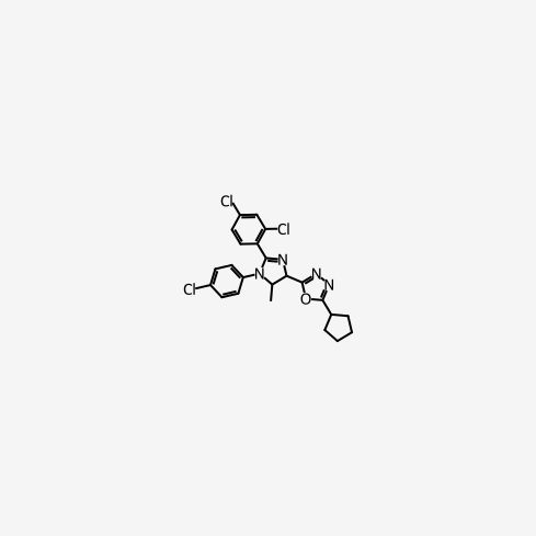 CC1C(c2nnc(C3CCCC3)o2)N=C(c2ccc(Cl)cc2Cl)N1c1ccc(Cl)cc1